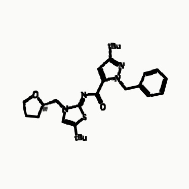 CC(C)(C)c1cc(C(=O)N=c2sc(C(C)(C)C)cn2C[C@H]2CCCO2)n(Cc2ccccc2)n1